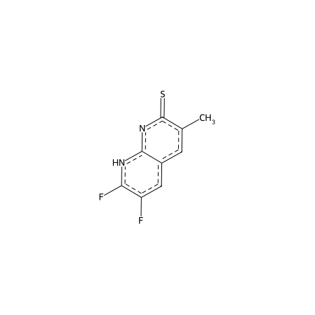 Cc1cc2cc(F)c(F)[nH]c-2nc1=S